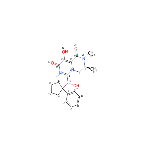 C[C@H]1Cn2c([C@H](O)C3(c4ccccc4)CCCC3)nc(=O)c(O)c2C(=O)N1C